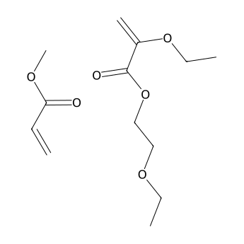 C=C(OCC)C(=O)OCCOCC.C=CC(=O)OC